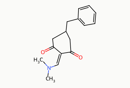 CN(C)C=C1C(=O)CC(Cc2ccccc2)CC1=O